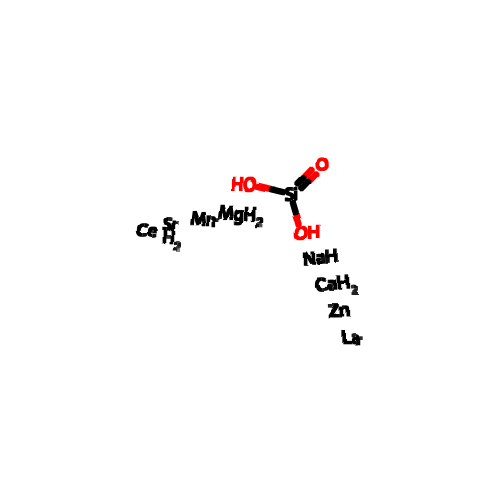 O=[Si](O)O.[CaH2].[Ce].[La].[MgH2].[Mn].[NaH].[SrH2].[Zn]